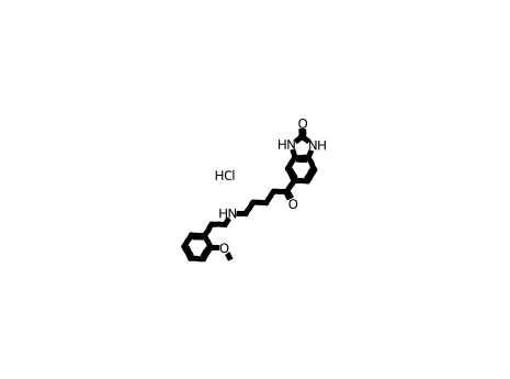 COc1ccccc1CCNCCCCC(=O)c1ccc2[nH]c(=O)[nH]c2c1.Cl